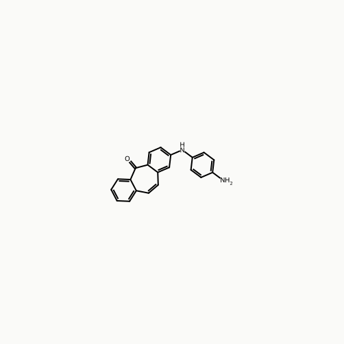 Nc1ccc(Nc2ccc3c(=O)c4ccccc4ccc3c2)cc1